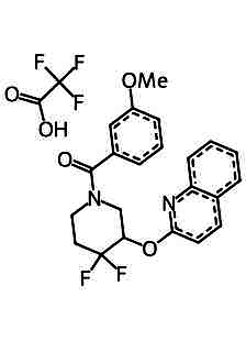 COc1cccc(C(=O)N2CCC(F)(F)C(Oc3ccc4ccccc4n3)C2)c1.O=C(O)C(F)(F)F